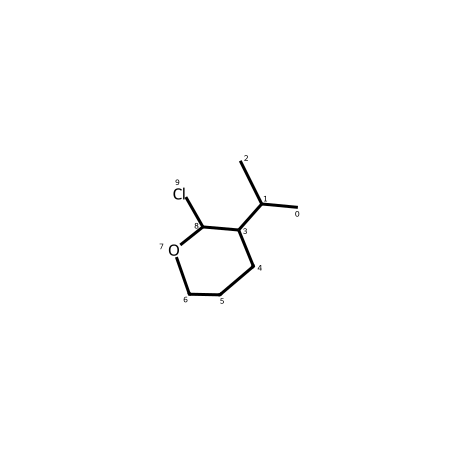 CC(C)C1CCCOC1Cl